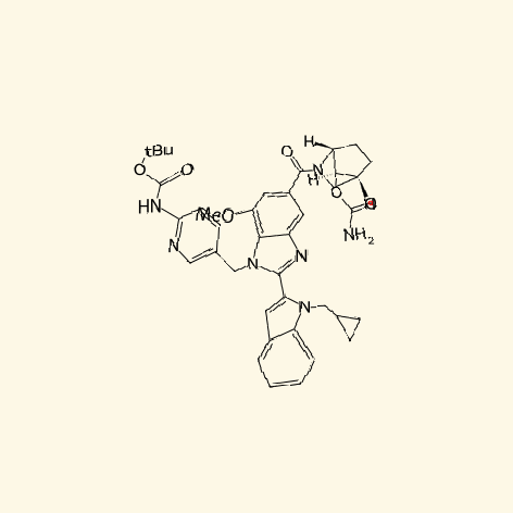 COc1cc(C(=O)N2C[C@H]3CC[C@@H]2[C@@H]3OC(N)=O)cc2nc(-c3cc4ccccc4n3CC3CC3)n(Cc3ccc(NC(=O)OC(C)(C)C)nc3)c12